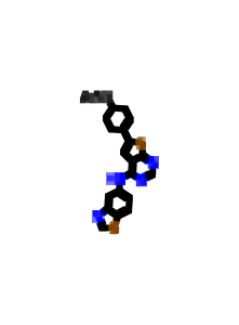 CC(=O)NC1CC=C(c2cc3c(Nc4ccc5scnc5c4)ncnc3s2)CC1